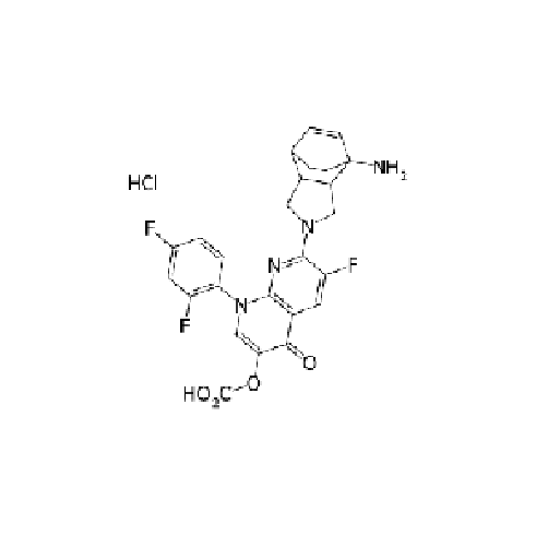 Cl.NC12C=CC(CC1)C1CN(c3nc4c(cc3F)c(=O)c(OC(=O)O)cn4-c3ccc(F)cc3F)CC12